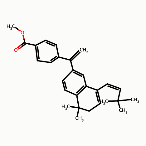 C=C(c1ccc(C(=O)OC)cc1)c1ccc2c(c1)C(/C=C\C(C)(C)C)=CCC2(C)C